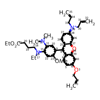 C=CCOc1ccc2c(-c3cc(N(C)C)c(N(CC)CCCC(=O)OCC)cc3OC)c3ccc(=[N+](CC=C)CC=C)cc-3oc2c1